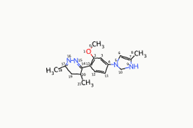 COc1cc(N2C=C(C)NC2)ccc1C1=NN=C(C)CC1C